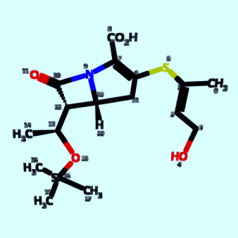 CC(=CCO)SC1=C(C(=O)O)N2C(=O)[C@@H]([C@H](C)O[Si](C)(C)C)[C@H]2C1